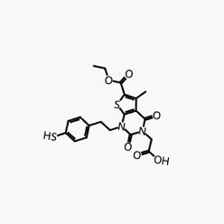 CCOC(=O)c1sc2c(c1C)c(=O)n(CC(=O)O)c(=O)n2CCc1ccc(S)cc1